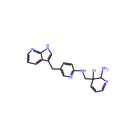 CCC1(CNc2ccc(Cc3c[nH]c4ncccc34)cn2)C=CC=NC1N